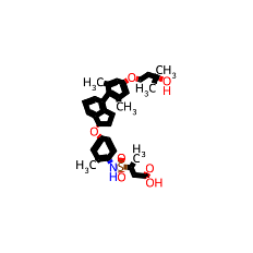 Cc1cc(O[C@@H]2CCc3c(-c4c(C)cc(OCCC(C)(C)O)cc4C)cccc32)ccc1NS(=O)(=O)C(C)CC(=O)O